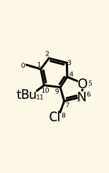 Cc1ccc2onc(Cl)c2c1C(C)(C)C